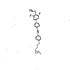 CCCCCc1ccc(C#Cc2ccc(-c3cc(F)c(SC#N)c(F)c3)cc2)cc1